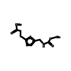 COC(=O)CSc1ncc(CNC(=O)OC(C)(C)C)s1